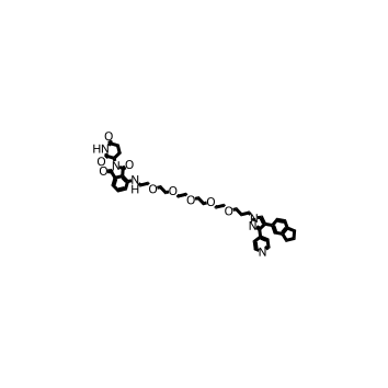 O=C1CCC(N2C(=O)c3cccc(NCCOCCOCCOCCOCCOCCCn4cc(-c5ccc6c(c5)CCC6)c(-c5ccncc5)n4)c3C2=O)C(=O)N1